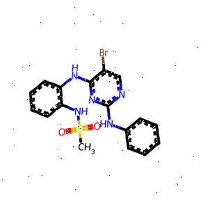 CS(=O)(=O)Nc1ccccc1Nc1nc(Nc2ccccc2)ncc1Br